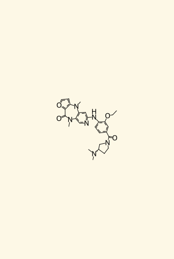 CCOc1cc(C(=O)N2CC[C@@H](N(C)C)C2)ccc1Nc1cc2c(cn1)N(C)C(=O)c1occc1N2C